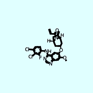 C=CC(=O)N1[C@H]2CC(=C)[C@@H]1C[C@@H](Oc1cc3c(Nc4ccc(Cl)c(Cl)c4F)ncnc3cc1OC)C2